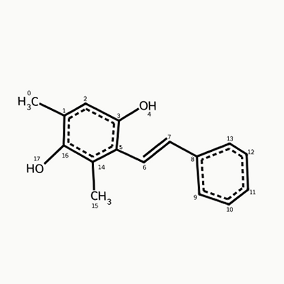 Cc1cc(O)c(C=Cc2ccccc2)c(C)c1O